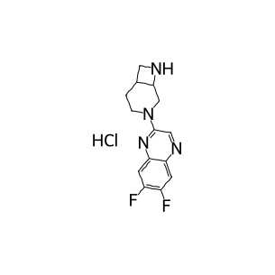 Cl.Fc1cc2ncc(N3CCC4CNC4C3)nc2cc1F